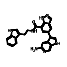 Nc1cc2c(-c3cc(C(=O)NCCc4c[nH]c5ccccc45)c4[nH]ncc4c3)c[nH]c2cn1